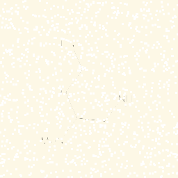 CNC(CN)CCN